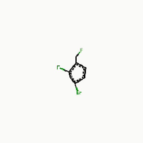 FCc1ccc(Br)cc1F